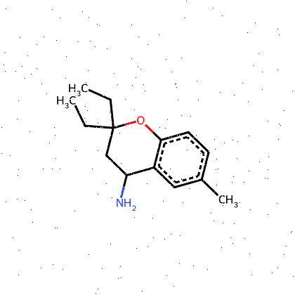 CCC1(CC)CC(N)c2cc(C)ccc2O1